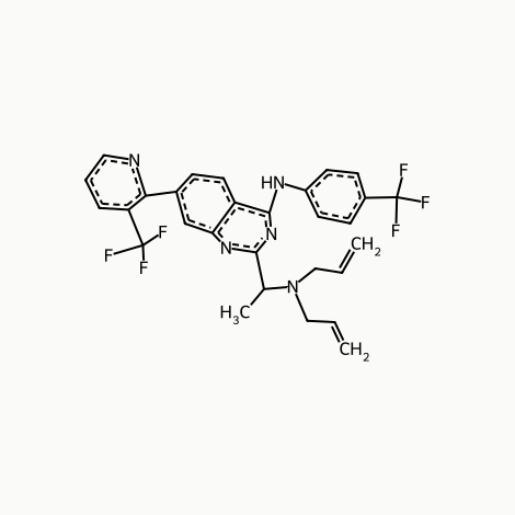 C=CCN(CC=C)C(C)c1nc(Nc2ccc(C(F)(F)F)cc2)c2ccc(-c3ncccc3C(F)(F)F)cc2n1